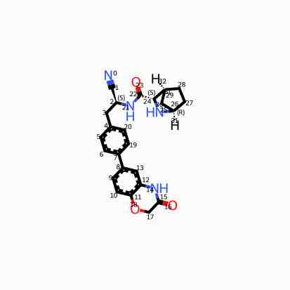 N#C[C@H](Cc1ccc(-c2ccc3c(c2)NC(=O)CO3)cc1)NC(=O)[C@H]1N[C@@H]2CC[C@H]1C2